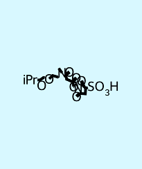 CC(C)C(=O)COCCN(C)C(=O)CC(=O)ON1C(=O)CC(S(=O)(=O)O)C1=O